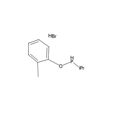 Br.Cc1ccccc1OPC(C)C